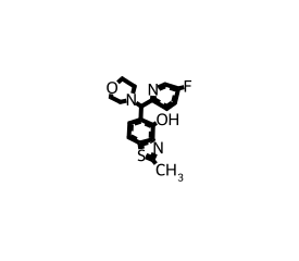 Cc1nc2c(O)c(C(c3ccc(F)cn3)N3CCOCC3)ccc2s1